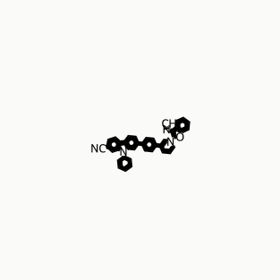 C=Nc1c(N2C=C(c3ccc(-c4ccc5c6ccc(C#N)cc6n(C6C=CC=CC6)c5c4)cc3)C=CC2)oc2ccccc12